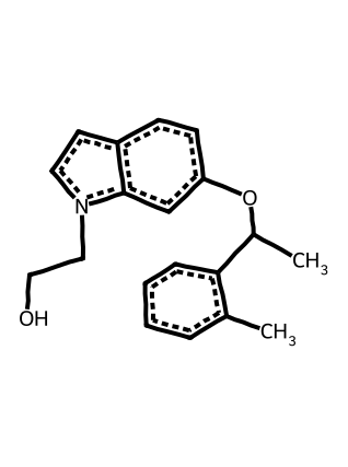 Cc1ccccc1C(C)Oc1ccc2ccn(CCO)c2c1